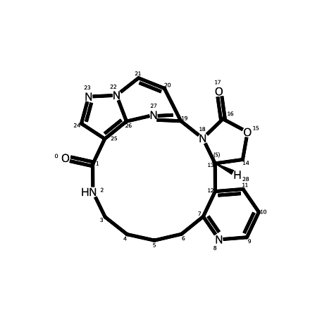 O=C1NCCCCc2ncccc2[C@H]2COC(=O)N2c2ccn3ncc1c3n2